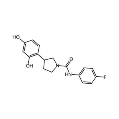 O=C(Nc1ccc(F)cc1)N1CCC(c2ccc(O)cc2O)C1